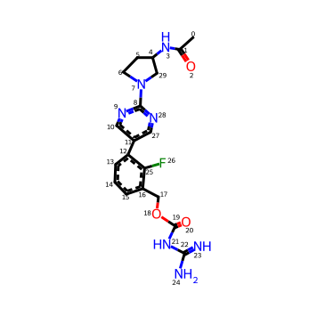 CC(=O)NC1CCN(c2ncc(-c3cccc(COC(=O)NC(=N)N)c3F)cn2)C1